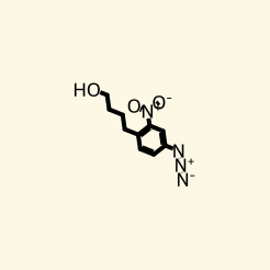 [N-]=[N+]=Nc1ccc(CCCCO)c([N+](=O)[O-])c1